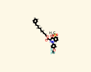 CS(=O)(=O)c1cccc2c1c(=O)c(C(=O)OCCCCCCCCCc1ccccc1)nn2-c1ccc(OC(F)(F)F)cc1